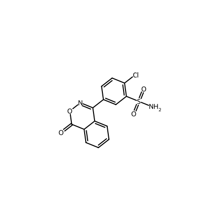 NS(=O)(=O)c1cc(-c2noc(=O)c3ccccc23)ccc1Cl